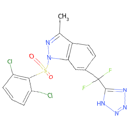 Cc1nn(S(=O)(=O)c2c(Cl)cccc2Cl)c2cc(C(F)(F)c3nnn[nH]3)ccc12